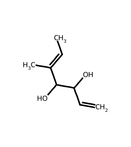 C=CC(O)C(O)C(C)=CC